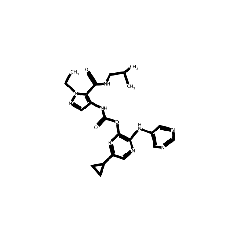 CCn1ncc(NC(=O)Oc2nc(C3CC3)cnc2Nc2cncnc2)c1C(=O)NCC(C)C